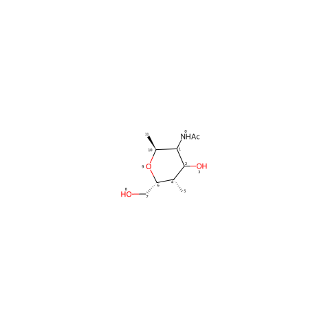 CC(=O)NC1C(O)[C@H](C)[C@H](CO)O[C@H]1C